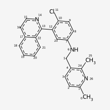 Cc1ccc(CNc2ccc(Cl)c(-c3nccc4ccccc34)c2)c(C)n1